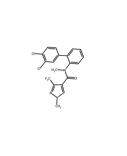 CN(C(=O)c1cn(C)nc1C(F)(F)F)c1ccccc1-c1ccc(Cl)c(Cl)c1